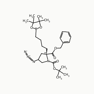 CC(C)(C)OC(=O)N1CC(N=[N+]=[N-])C[C@]1(CCCCB1OC(C)(C)C(C)(C)O1)C(=O)OCc1ccccc1